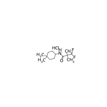 CC1(C)CCC(NC(=O)C(C)(C)C(F)F)CC1.Cl